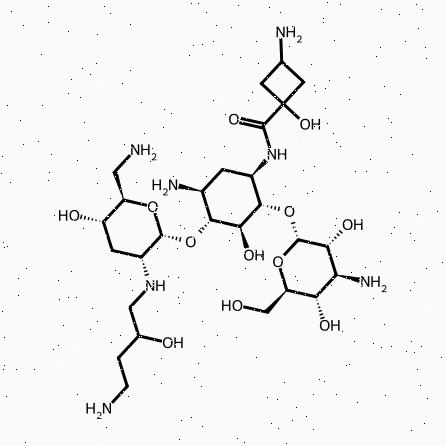 NCCC(O)CN[C@@H]1C[C@H](O)[C@@H](CN)O[C@@H]1O[C@H]1[C@H](O)[C@@H](O[C@H]2O[C@H](CO)[C@@H](O)[C@H](N)[C@H]2O)[C@H](NC(=O)C2(O)CC(N)C2)C[C@@H]1N